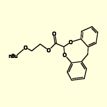 CCCCOCCOC(=O)C1Oc2ccccc2Cc2ccccc2O1